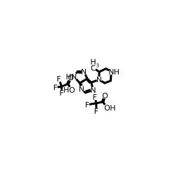 CC1CNCCN1c1ncnc2[nH]cnc12.O=C(O)C(F)(F)F.O=C(O)C(F)(F)F